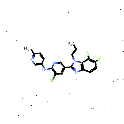 CCCn1c(-c2cnc(Nc3ccc(C)nc3)c(Cl)c2)nc2ccc(F)c(F)c21